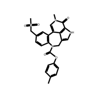 Cc1ccc(OC(=O)N2Cc3c[nH]c4c(=O)n(C)cc(c34)-c3cc(CS(C)(=O)=O)ccc32)cc1